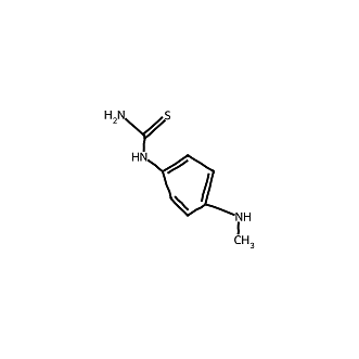 CNc1ccc(NC(N)=S)cc1